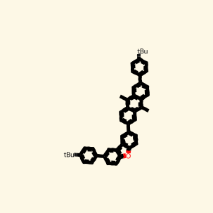 Cc1c2ccc(-c3ccc4oc5ccc(-c6ccc(C(C)(C)C)cc6)cc5c4c3)cc2c(C)c2ccc(-c3ccc(C(C)(C)C)cc3)cc12